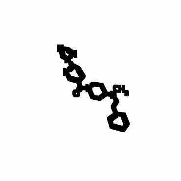 CN(CCc1ccccc1)C1CCN(C(=O)c2ccc(-n3cncn3)nc2)CC1